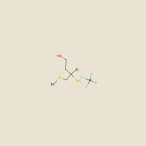 CCSCC([SH2+])(CC)CCO.F[B-](F)(F)F